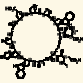 CC(C)C[C@@H]1NC(=O)[C@H](Cc2c[nH]cn2)NC(=O)[C@H](Cc2c[nH]c3ccccc23)NC(=O)[C@H](C)NC(=O)[C@@H](NC(=O)[C@H](CC(=O)O)NI)CSSC[C@@H](C(=O)N[C@H](C(=O)O)[C@@H](C)O)NC(=O)[C@H](Cc2c[nH]c3ccccc23)NC(=O)[C@H](C(C)C)NC(=O)[C@H](CC(C)C)NC(=O)[C@H](CCC(=O)O)NC(=O)CNC1=O